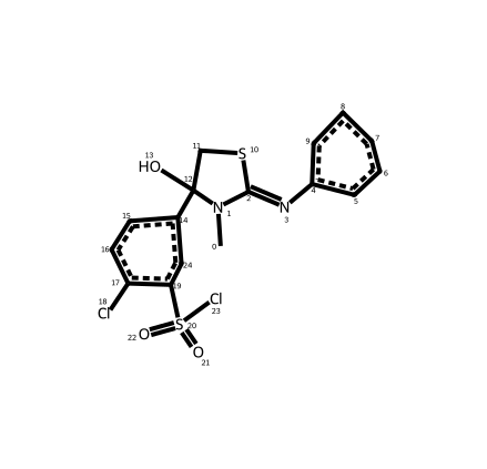 CN1C(=Nc2ccccc2)SCC1(O)c1ccc(Cl)c(S(=O)(=O)Cl)c1